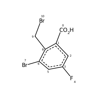 O=C(O)c1cc(F)cc(Br)c1CBr